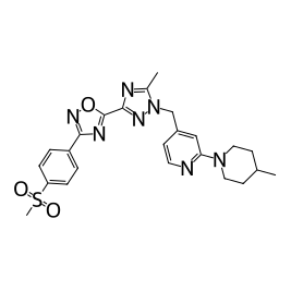 Cc1nc(-c2nc(-c3ccc(S(C)(=O)=O)cc3)no2)nn1Cc1ccnc(N2CCC(C)CC2)c1